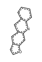 c1ccc2nc3cc4occc4cc3cc2c1